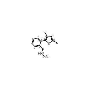 CCCCNCc1ccccc1C1=C(C)C=C(C)C1